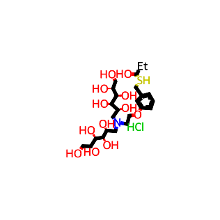 CCC(O)=[SH]Cc1cccc(OCCN(C[C@H](O)[C@@H](O)[C@H](O)[C@H](O)CO)C[C@H](O)[C@@H](O)[C@H](O)[C@H](O)CO)c1.Cl